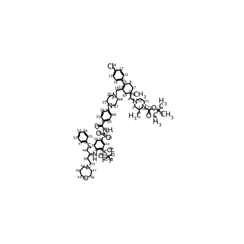 CC1CN(C[C@]2(C)CCC(c3ccc(Cl)cc3)=C(CN3CCN(c4ccc(C(=O)NS(=O)(=O)c5ccc(NC(CCN6CCCOCC6)CSc6ccccc6)c(S(=O)(=O)C(F)(F)F)c5)cc4)CC3)C2)CCN1C(=O)OC(C)(C)C